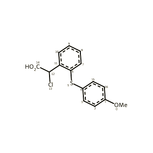 COc1ccc(Sc2ccccc2C(Cl)C(=O)O)cc1